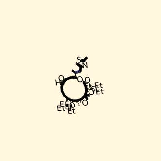 CC[Si](CC)(CC)O[C@H]1[C@@H](C)CCC[C@H]2OC2C[C@@H](/C(C)=C/c2csc(C)n2)OC(=O)C[C@H](O[Si](CC)(CC)CC)C(C)(C)C(=O)[C@@H]1C